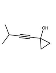 CC(C)C#CC1(O)CC1